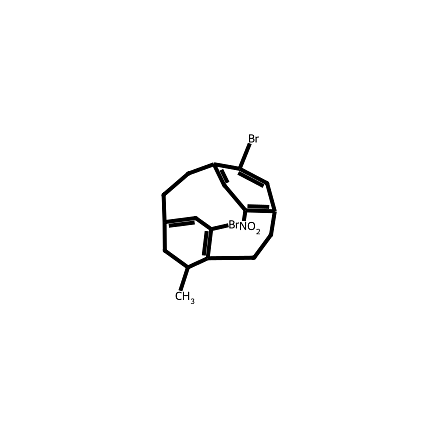 CC1CC2=CC(Br)=C1CCc1cc(Br)c(cc1[N+](=O)[O-])CC2